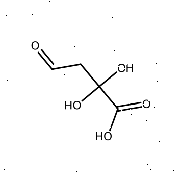 O=CCC(O)(O)C(=O)O